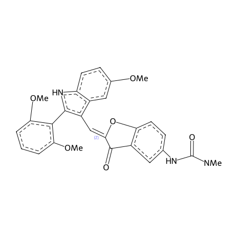 CNC(=O)Nc1ccc2c(c1)C(=O)/C(=C/c1c(-c3c(OC)cccc3OC)[nH]c3ccc(OC)cc13)O2